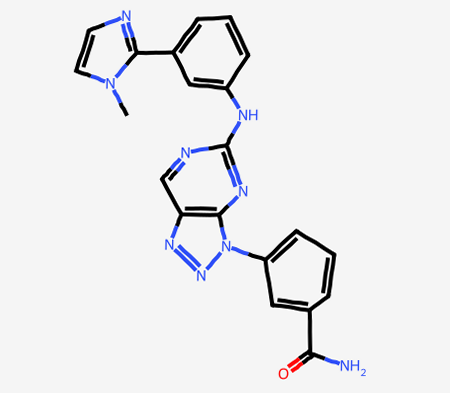 Cn1ccnc1-c1cccc(Nc2ncc3nnn(-c4cccc(C(N)=O)c4)c3n2)c1